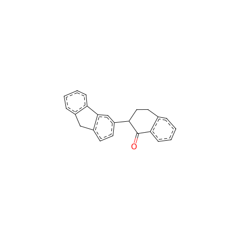 O=C1c2ccccc2CCC1c1ccc2c(c1)-c1ccccc1C2